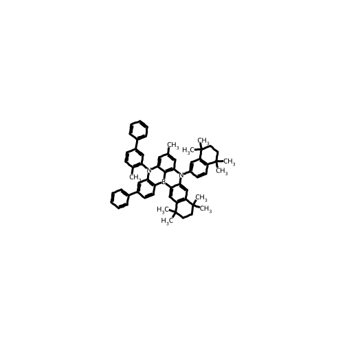 Cc1cc2c3c(c1)N(c1cc(-c4ccccc4)ccc1C)c1cc(-c4ccccc4)ccc1B3c1cc3c(cc1N2c1ccc2c(c1)C(C)(C)CCC2(C)C)C(C)(C)CCC3(C)C